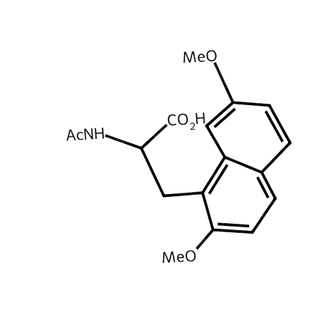 COc1ccc2ccc(OC)c(CC(NC(C)=O)C(=O)O)c2c1